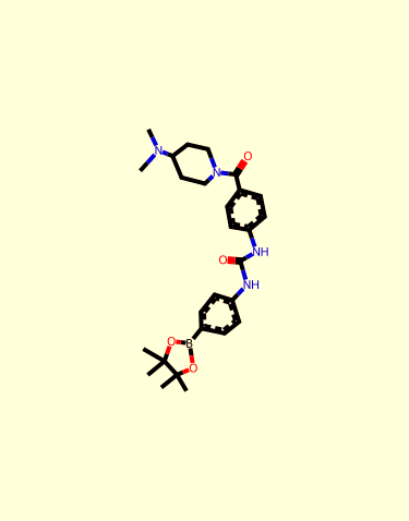 CN(C)C1CCN(C(=O)c2ccc(NC(=O)Nc3ccc(B4OC(C)(C)C(C)(C)O4)cc3)cc2)CC1